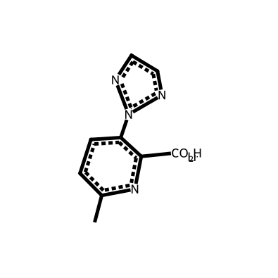 Cc1ccc(-n2nccn2)c(C(=O)O)n1.[Li]